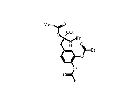 CCC(=O)Oc1ccc(C[C@](NC(C)C)(OC(=O)OC)C(=O)O)cc1OC(=O)CC